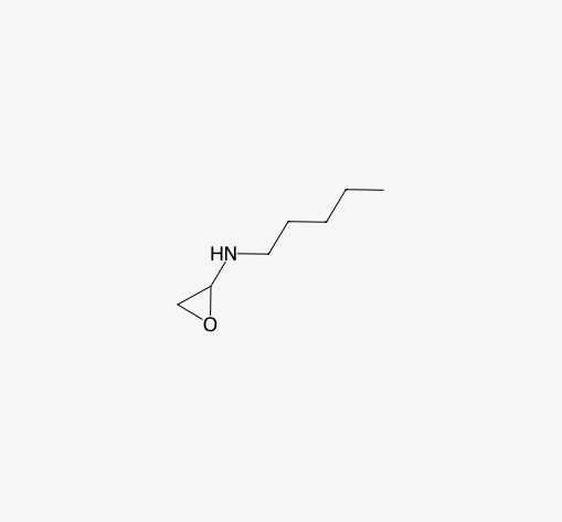 CCCCCNC1CO1